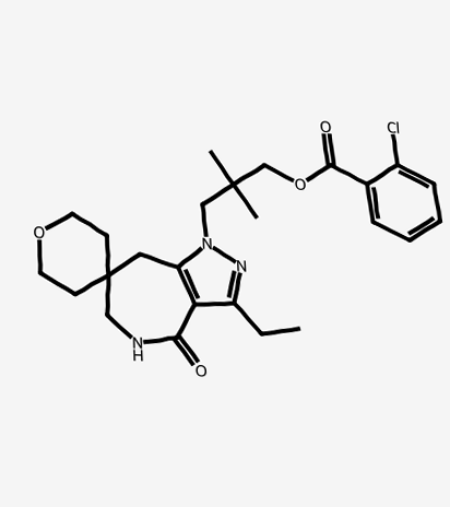 CCc1nn(CC(C)(C)COC(=O)c2ccccc2Cl)c2c1C(=O)NCC1(CCOCC1)C2